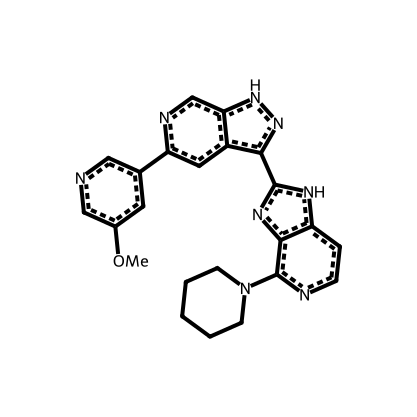 COc1cncc(-c2cc3c(-c4nc5c(N6CCCCC6)nccc5[nH]4)n[nH]c3cn2)c1